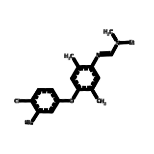 CCN(C)C=Nc1cc(C)c(Oc2ccc(Cl)c(C(C)(C)C)c2)cc1C